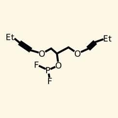 CCC#COCC(COC#CCC)OP(F)F